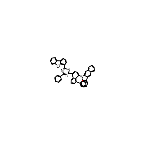 c1ccc(-c2nc(-c3ccc(-n4c5ccccc5c5cc6ccccc6cc54)c4c(-c5ccccc5)cccc34)nc(-c3cccc4c3oc3ccccc34)n2)cc1